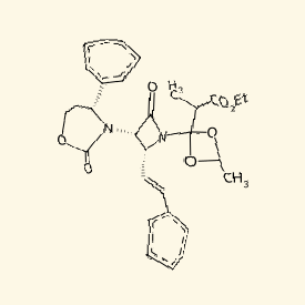 CCOC(=O)C(C)C1(N2C(=O)[C@@H](N3C(=O)OC[C@@H]3c3ccccc3)[C@H]2C=Cc2ccccc2)OC(C)O1